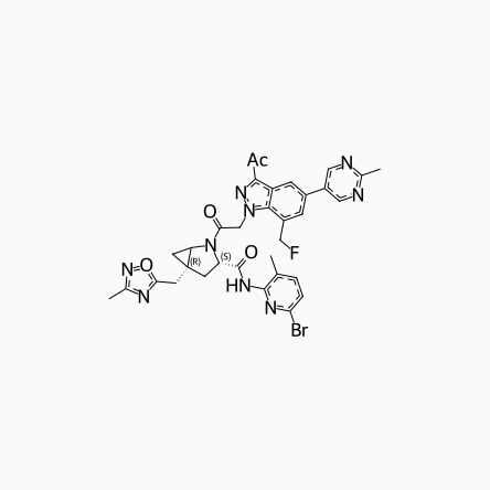 CC(=O)c1nn(CC(=O)N2C3C[C@]3(Cc3nc(C)no3)C[C@H]2C(=O)Nc2nc(Br)ccc2C)c2c(CF)cc(-c3cnc(C)nc3)cc12